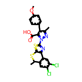 COc1ccc(-c2c(C)nn(-c3nc4c(s3)SC(C)c3cc(Cl)c(Cl)cc3-4)c2C(=O)O)cc1